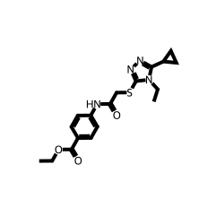 CCOC(=O)c1ccc(NC(=O)CSc2nnc(C3CC3)n2CC)cc1